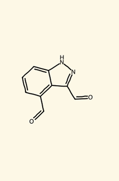 O=Cc1cccc2[nH]nc(C=O)c12